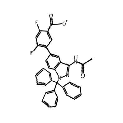 COC(=O)c1cc(-c2ccc3c(c2)c(NC(C)=O)nn3C(c2ccccc2)(c2ccccc2)c2ccccc2)c(F)cc1F